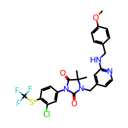 COc1ccc(CNc2cc(CN3C(=O)N(c4ccc(SC(F)(F)F)c(Cl)c4)C(=O)C3(C)C)ccn2)cc1